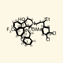 CCC(CCN1CCC(O)(c2ccccc2)C(c2cc(C(F)(F)F)cc(C(F)(F)F)c2)C1(NCc1ccccc1)OC)c1ccc(Cl)c(Cl)c1